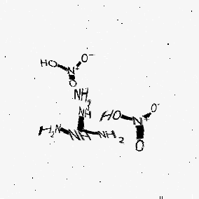 N.N=C(N)NN.O=[N+]([O-])O.O=[N+]([O-])O